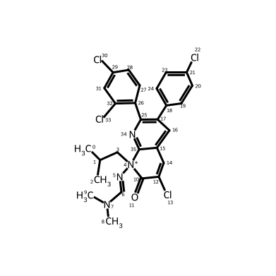 CC(C)C[N+]1(N=CN(C)C)C(=O)C(Cl)=Cc2cc(-c3ccc(Cl)cc3)c(-c3ccc(Cl)cc3Cl)nc21